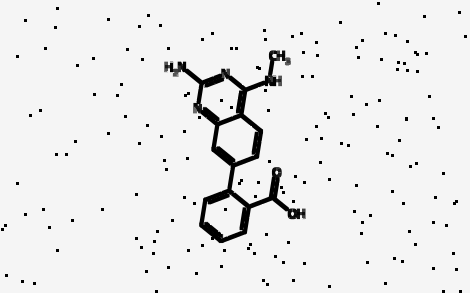 CNc1nc(N)nc2cc(-c3ccccc3C(=O)O)ccc12